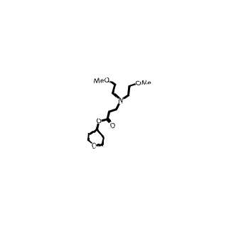 COCCN(CCOC)CCC(=O)OC1CCOCC1